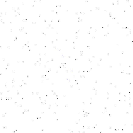 CC(C)c1ccnn1-c1cccc2c1[nH]c(=O)n2C(C)C